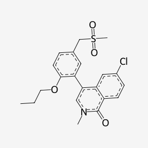 CCCOc1ccc(CS(C)(=O)=O)cc1-c1cn(C)c(=O)c2ccc(Cl)cc12